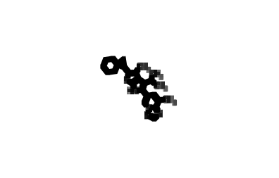 Cc1c(C2CC23CCCCC3)sc2[nH]c(-c3cc(C)c4ncnn4c3)c(C(C)C)c12